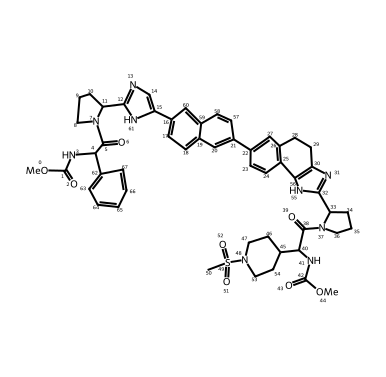 COC(=O)NC(C(=O)N1CCCC1c1ncc(-c2ccc3cc(-c4ccc5c(c4)CCc4nc(C6CCCN6C(=O)C(NC(=O)OC)C6CCN(S(C)(=O)=O)CC6)[nH]c4-5)ccc3c2)[nH]1)c1ccccc1